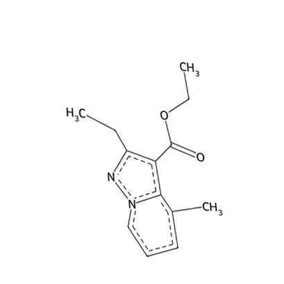 CCOC(=O)c1c(CC)nn2cccc(C)c12